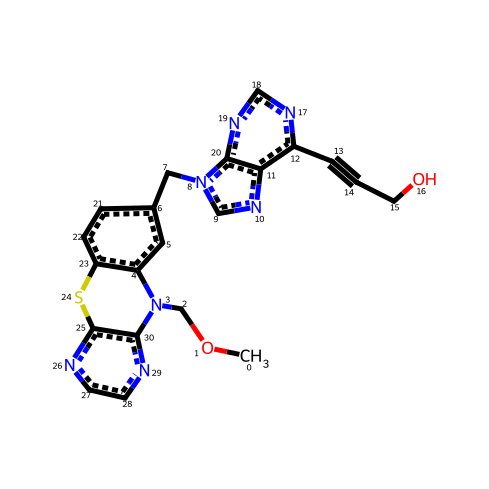 COCN1c2cc(Cn3cnc4c(C#CCO)ncnc43)ccc2Sc2nccnc21